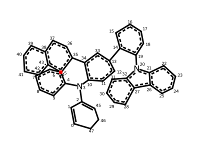 C1=CC(N(c2ccccc2)c2ccc(-c3ccccc3-n3c4ccccc4c4ccccc43)cc2-c2ccc3ccccc3c2)=CCC1